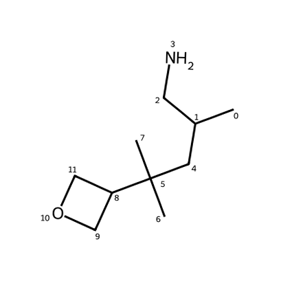 CC(CN)CC(C)(C)C1COC1